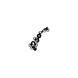 CC(=O)COCCOc1ccc(N2CCN(C3CCC(=O)N(C(=O)OC(C)(C)C)C3=O)C2=O)cc1